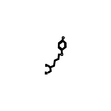 [O]c1ccc(OCCCCC(Br)CBr)cc1